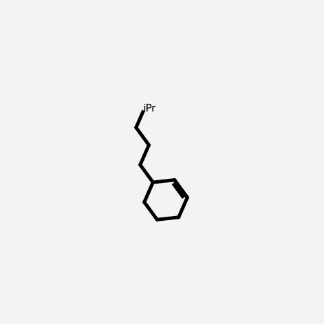 CC(C)CCCC1C=CCCC1